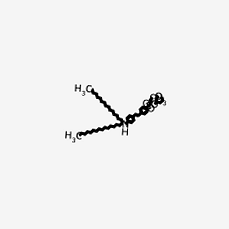 CCCCCCCCCCCCCCCCC(CCCCCCCCCCCCCCC)Nc1ccc(C=Cc2ccc(S(=O)(=O)C(CC)OC3CCCOC3)cc2)cc1